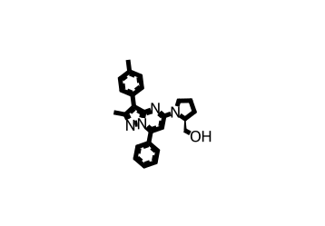 Cc1ccc(-c2c(C)nn3c(-c4ccccc4)cc(N4CCC[C@H]4CO)nc23)cc1